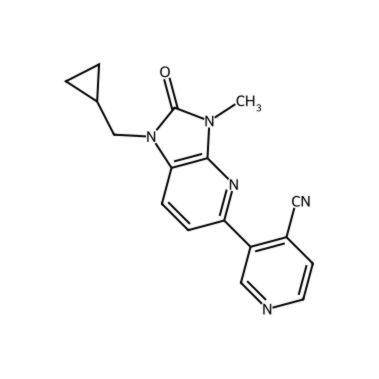 Cn1c(=O)n(CC2CC2)c2ccc(-c3cnccc3C#N)nc21